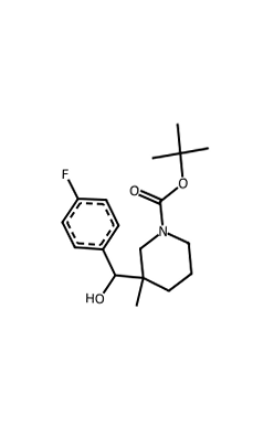 CC(C)(C)OC(=O)N1CCCC(C)(C(O)c2ccc(F)cc2)C1